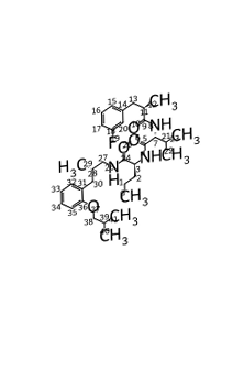 CCC[C@H](NC(=O)[C@H](NC(=O)[C@H](C)Cc1cccc(F)c1)C(C)C)C(=O)NC[C@@H](C)Cc1ccccc1OCC(C)C